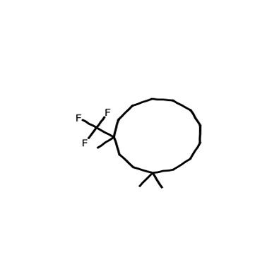 CC1(C)CCCCCCCCCC(C)(C(F)(F)F)CC1